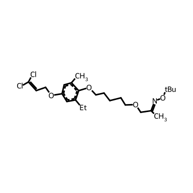 CCc1cc(OCC=C(Cl)Cl)cc(C)c1OCCCCCOCC(C)=NOC(C)(C)C